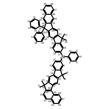 CC1(C)c2cc(N(c3ccccc3)c3ccc4c(c3)C(C)(C)c3cc5c(cc3-4)C(c3ccccc3)(c3ccccc3)c3cc4ccccc4cc3-5)ccc2-c2cc3c(cc21)-c1c(ccc2ccccc12)C3(C)C